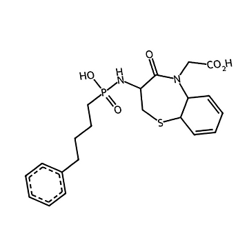 O=C(O)CN1C(=O)C(NP(=O)(O)CCCCc2ccccc2)CSC2C=CC=CC21